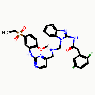 CCS(=O)(=O)c1ccc(OC)c(Nc2nccc(CNCn3c(NC(=O)Cc4cc(F)ccc4F)nc4ccccc43)n2)c1